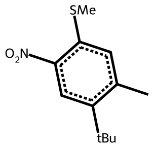 CSc1cc(C)c(C(C)(C)C)cc1[N+](=O)[O-]